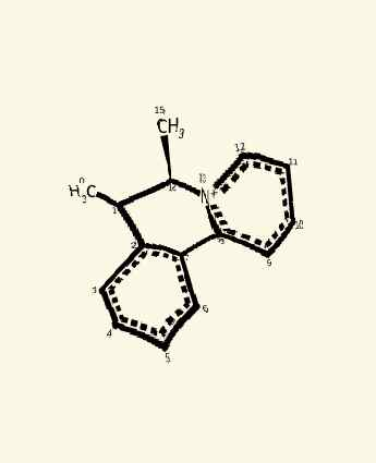 CC1c2ccccc2-c2cccc[n+]2[C@@H]1C